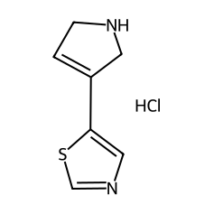 C1=C(c2cncs2)CNC1.Cl